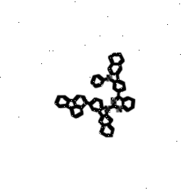 c1ccc(-n2c3cc(-c4nc(-n5c6ccc(-c7ccc8c9c(cccc79)-c7ccccc7-8)cc6c6cc7ccccc7cc65)nc5ccccc45)ccc3c3cc4ccccc4cc32)cc1